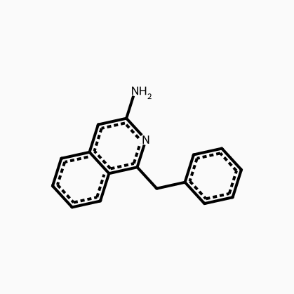 Nc1cc2ccccc2c(Cc2ccccc2)n1